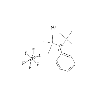 CC(C)(C)[PH+](c1ccccc1)C(C)(C)C.[F][Zr-2]([F])([F])([F])([F])[F].[H+]